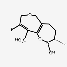 C[C@H]1CCC2=C(OB1O)C(C(=O)O)=C(F)CCC2